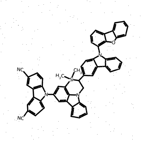 C[Si]1(C)c2cc(-n3c4ccc(C#N)cc4c4cc(C#N)ccc43)cc3c4ccccc4n(c23)CC1c1ccc2c(c1)c1ccccc1n2-c1cccc2c1oc1ccccc12